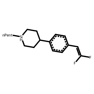 CCCCC[SiH]1CCC(c2ccc(C=C(F)F)cc2)CC1